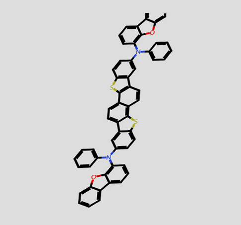 c1ccc(N(c2ccc3sc4c(ccc5c4ccc4c6cc(N(c7ccccc7)c7cccc8c7oc7ccccc78)ccc6sc45)c3c2)c2cccc3c2oc2ccccc23)cc1